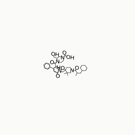 CC(CC1CCCCC1)C(=O)N1CCC(O)(Cn2cc(C(=O)N3CCN(C(=O)O)CC3CO)c(-c3ccccc3)cc2=O)C(C)(C)C1